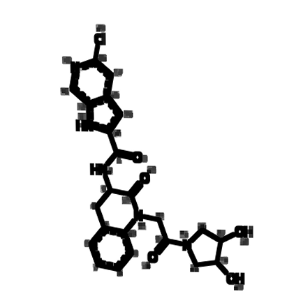 O=C(NC1Cc2ccccc2N(CC(=O)N2CC(O)C(O)C2)C1=O)c1cc2cc(Cl)ncc2[nH]1